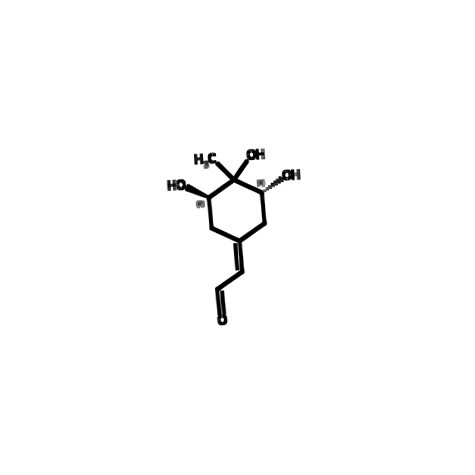 CC1(O)[C@H](O)CC(=CC=O)C[C@H]1O